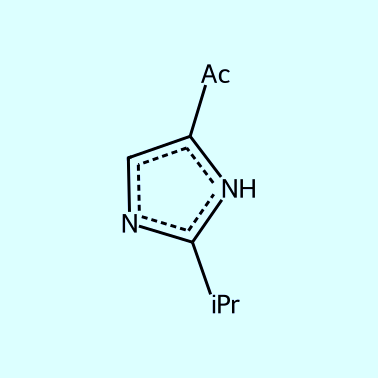 CC(=O)c1cnc(C(C)C)[nH]1